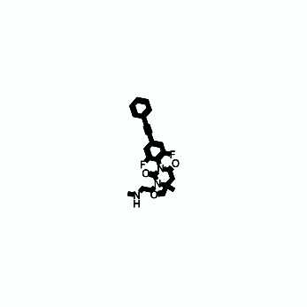 CNCCN1C(=O)N(c2c(F)cc(C#Cc3ccccc3)cc2F)C(=O)CC1(C)C=O